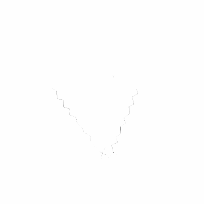 CCCCCCCCCCCCCCO[N+](C)(C)OC(C)CCCCCCCCCCCCC.[Br-]